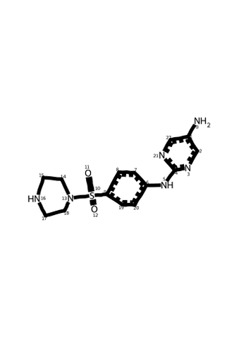 Nc1cnc(Nc2ccc(S(=O)(=O)N3CCNCC3)cc2)nc1